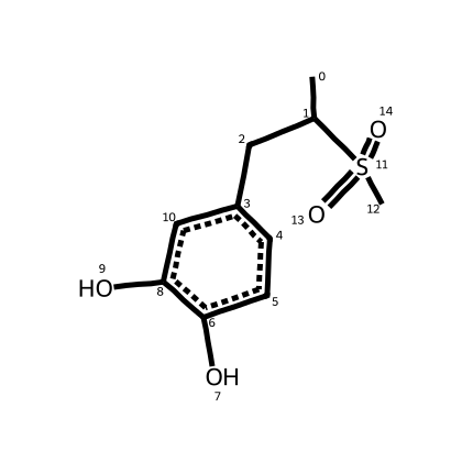 CC(Cc1ccc(O)c(O)c1)S(C)(=O)=O